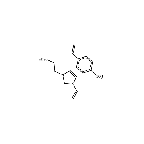 C=CN1C=CN(CCCCCCCCCCCC)C1.C=Cc1ccc(S(=O)(=O)O)cc1